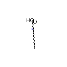 CCCCCCCCCCCC/C=C/CCCC(=O)O